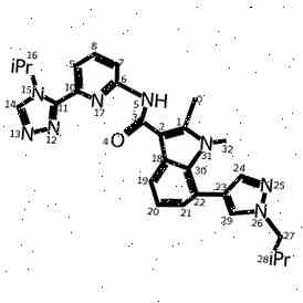 Cc1c(C(=O)Nc2cccc(-c3nncn3C(C)C)n2)c2cccc(-c3cnn(CC(C)C)c3)c2n1C